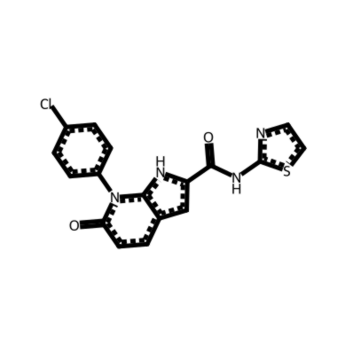 O=C(Nc1nccs1)c1cc2ccc(=O)n(-c3ccc(Cl)cc3)c2[nH]1